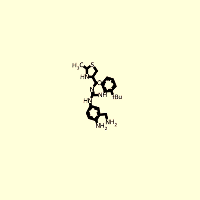 CC1NC(C(=O)/N=C(/Nc2ccc(N)c(CN)c2)Nc2ccccc2C(C)(C)C)CS1